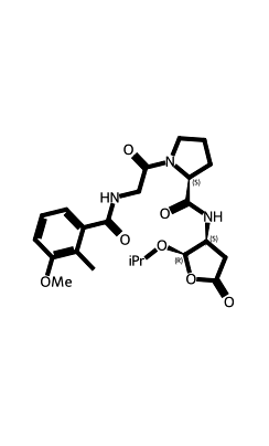 COc1cccc(C(=O)NCC(=O)N2CCC[C@H]2C(=O)N[C@H]2CC(=O)O[C@H]2OC(C)C)c1C